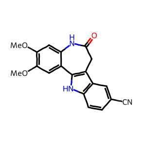 COc1cc2c(cc1OC)-c1[nH]c3ccc(C#N)cc3c1CC(=O)N2